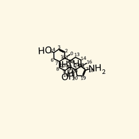 C[C@]12C=CC(O)CC1=CC(O)[C@@H]1[C@H]2CC[C@]2(C)C(N)=CC[C@@H]12